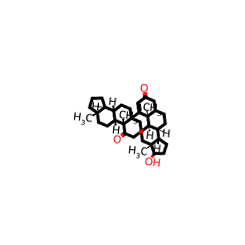 C[C@@]12CCC[C@H]1[C@@H]1CCC3(C4=CC(=O)CC5CC[C@@H]6[C@@H](CC[C@]7(C)C(O)CC[C@@H]67)[C@@]45C)CCCC(=O)[C@]3(C)[C@@H]1CC2